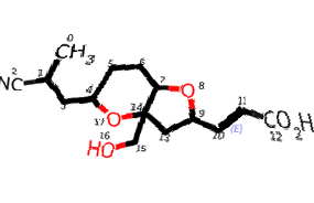 CC(C#N)CC1CCC2OC(/C=C/C(=O)O)CC2(CO)O1